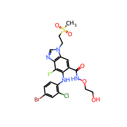 CS(=O)(=O)CCn1cnc2c(F)c(Nc3ccc(Br)cc3Cl)c(C(=O)NOCCO)cc21